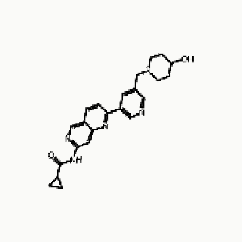 O=C(Nc1cc2nc(-c3cncc(CN4CCC(O)CC4)c3)ccc2cn1)C1CC1